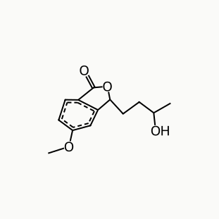 COc1ccc2c(c1)C(CCC(C)O)OC2=O